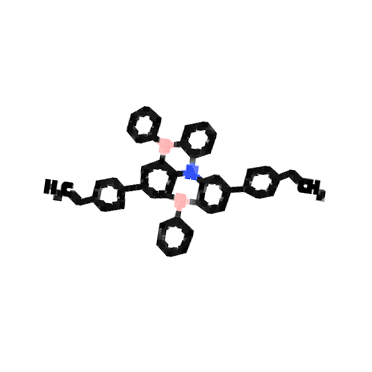 C=Cc1ccc(-c2cc3c4c(c2)B(c2ccccc2)c2ccc(-c5ccc(C=C)cc5)cc2N4c2ccccc2B3c2ccccc2)cc1